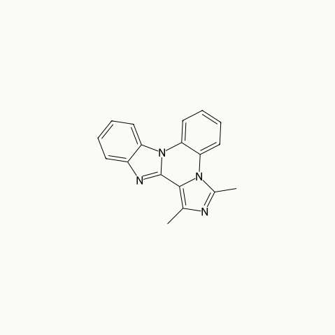 Cc1nc(C)n2c3ccccc3n3c4ccccc4nc3c12